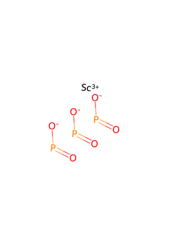 O=P[O-].O=P[O-].O=P[O-].[Sc+3]